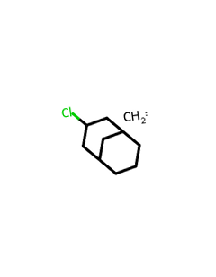 ClC1CC2CCCC(C1)C2.[CH2]